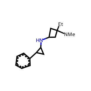 CCC1(NC)CC(NC2CC2c2ccccc2)C1